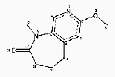 COc1cc2c(cn1)N(C)C(=O)CCC2